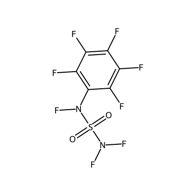 O=S(=O)(N(F)F)N(F)c1c(F)c(F)c(F)c(F)c1F